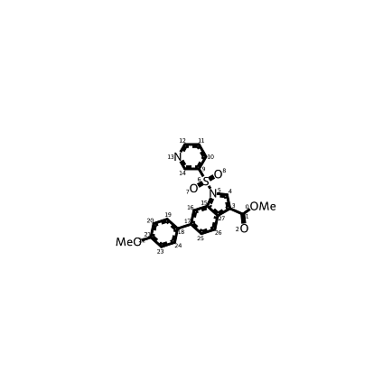 COC(=O)c1cn(S(=O)(=O)c2cccnc2)c2cc(-c3ccc(OC)cc3)ccc12